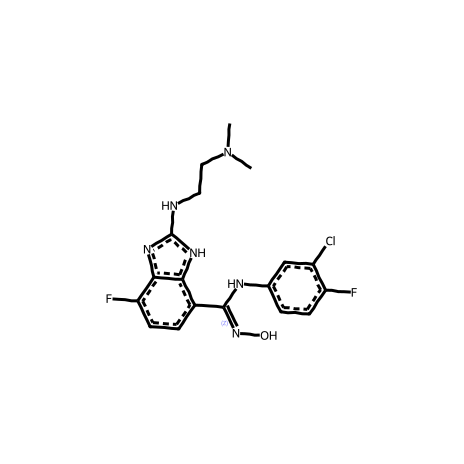 CN(C)CCNc1nc2c(F)ccc(/C(=N/O)Nc3ccc(F)c(Cl)c3)c2[nH]1